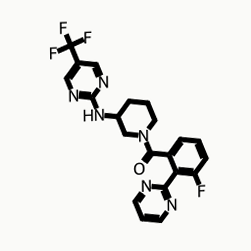 O=C(c1cccc(F)c1-c1ncccn1)N1CCCC(Nc2ncc(C(F)(F)F)cn2)C1